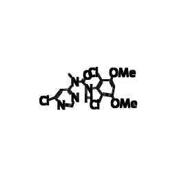 COc1cc(OC)c(Cl)c(NC(=O)N(C)c2cc(Cl)ncn2)c1Cl